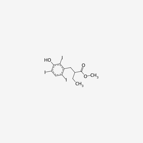 CCC(Cc1c(I)cc(I)c(O)c1I)C(=O)OC